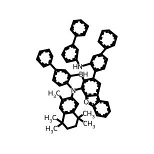 Cc1cc2c(cc1N1c3ccc(-c4ccccc4)cc3Bc3c(-c4ccc(-c5ccccc5)cc4Nc4cccc(-c5ccccc5)c4)cc4c(oc5ccccc54)c31)C(C)(C)CCC2(C)C